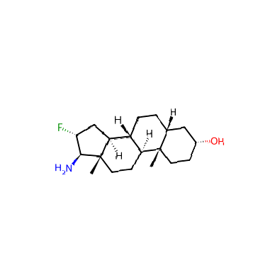 C[C@]12CC[C@@H](O)C[C@H]1CC[C@@H]1[C@@H]2CC[C@]2(C)[C@@H](N)[C@H](F)C[C@@H]12